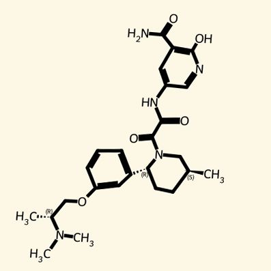 C[C@H]1CC[C@H](c2cccc(OC[C@@H](C)N(C)C)c2)N(C(=O)C(=O)Nc2cnc(O)c(C(N)=O)c2)C1